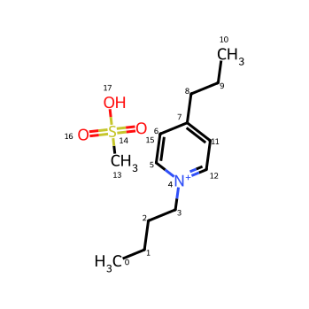 CCCC[n+]1ccc(CCC)cc1.CS(=O)(=O)O